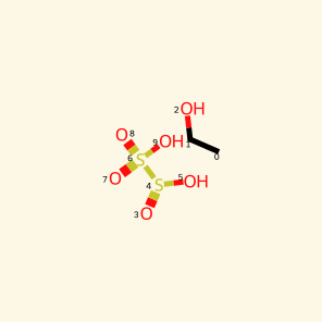 CCO.O=S(O)S(=O)(=O)O